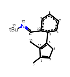 CC1=CCC(c2ccccc2C=NC(C)(C)C)=C1C